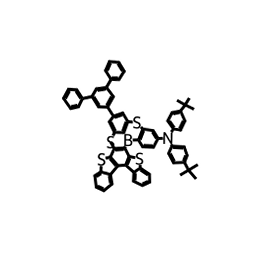 CC(C)(C)c1ccc(N(c2ccc(C(C)(C)C)cc2)c2ccc3c(c2)Sc2cc(-c4cc(-c5ccccc5)cc(-c5ccccc5)c4)cc4c2B3c2c(c3sc5ccccc5c3c3c2sc2ccccc23)S4)cc1